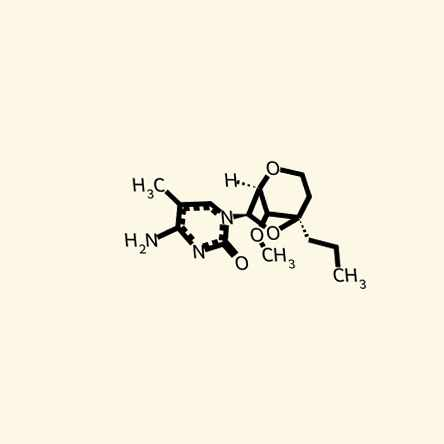 CCC[C@@]12CCO[C@@H](C1OC)[C@H](n1cc(C)c(N)nc1=O)O2